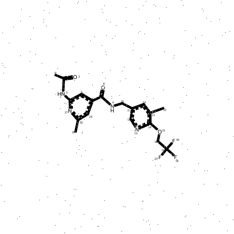 CC(=O)Nc1cc(C(=O)NCc2cnc(OCC(F)(F)F)c(C)c2)cc(C)n1